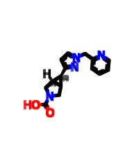 O=C(O)N1CC2[C@@H](C1)[C@H]2c1ccn(Cc2ccccn2)n1